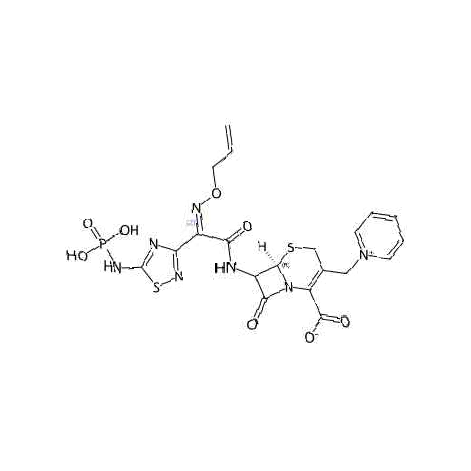 C=CCO/N=C(\C(=O)NC1C(=O)N2C(C(=O)[O-])=C(C[n+]3ccccc3)CS[C@H]12)c1nsc(NP(=O)(O)O)n1